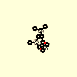 c1ccc(-c2cc(-c3ccccc3)nc(-c3ccc(-c4ccc5c(c4)-c4c(-c6nc(-c7ccccc7)nc(-c7ccccc7)n6)cccc4C54c5ccccc5Oc5ccccc54)cc3)n2)cc1